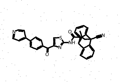 CC1(C(=O)Nc2nc(C(=O)c3ccc(-c4ccncc4)cc3)cs2)CC2(C#N)c3ccccc3C1c1ccccc12